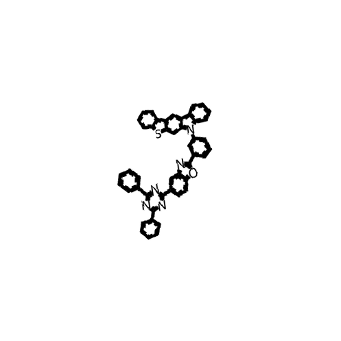 c1ccc(-c2nc(-c3ccccc3)nc(-c3ccc4oc(-c5cccc(-n6c7ccccc7c7cc8c(cc76)sc6ccccc68)c5)nc4c3)n2)cc1